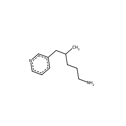 CC(CCCN)Cc1cccnc1